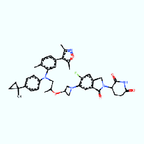 Cc1ccc(-c2c(C)noc2C)cc1N(CC(C)OC1CN(c2cc3c(cc2F)CN(C2CCC(=O)NC2=O)C3=O)C1)c1ccc(C2(C#N)CC2)cc1